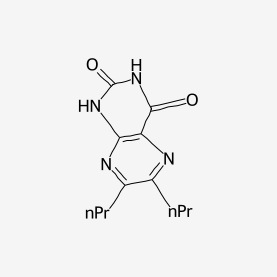 CCCc1nc2[nH]c(=O)[nH]c(=O)c2nc1CCC